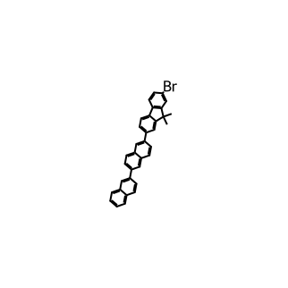 CC1(C)c2cc(Br)ccc2-c2ccc(-c3ccc4cc(-c5ccc6ccccc6c5)ccc4c3)cc21